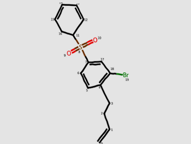 C=CCCc1ccc(S(=O)(=O)C2C=CC=CC2)cc1Br